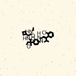 CCNC(=O)C(NC(=O)C1(c2ccc3nc(/C=C(/c4ccccc4Cl)C(C)C)[nH]c3c2)CCOC1)C1CCC1